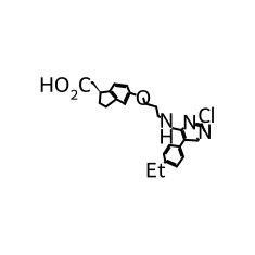 CCc1ccc(-c2cnc(Cl)nc2CNCCCOc2ccc3c(c2)CC[C@H]3CC(=O)O)cc1